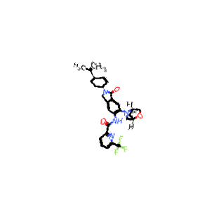 CC(C)[C@H]1CC[C@H](N2Cc3cc(NC(=O)c4cccc(C(F)(F)F)n4)c(N4C[C@H]5C[C@@H]4CO5)cc3C2=O)CC1